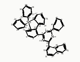 c1ccc(-c2nc(-c3cccc4c3-c3ccccc3[Si]4(c3ccccc3)c3ccccc3)nc(-c3cccc4ccccc34)n2)cc1